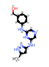 Cc1cc(Nc2cncc(Nc3cccc(CO)c3)n2)n[nH]1